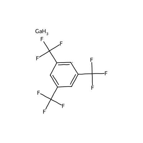 FC(F)(F)c1[c]c(C(F)(F)F)cc(C(F)(F)F)c1.[GaH3]